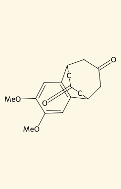 COc1cc2c(cc1OC)C1CC(=O)CC2CC(=O)C1